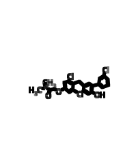 CN(C)C(=O)COc1cc(Cl)c(Cc2ccc(O)c(-c3cccc(Cl)c3)c2)c(Cl)c1